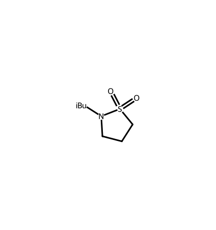 CCC(C)N1CCCS1(=O)=O